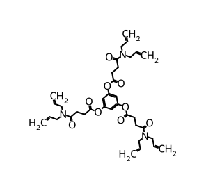 C=CCN(CC=C)C(=O)CCC(=O)Oc1cc(OC(=O)CCC(=O)N(CC=C)CC=C)cc(OC(=O)CCC(=O)N(CC=C)CC=C)c1